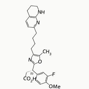 COc1ccc([C@H](CC(=O)O)c2nc(CCCCc3ccc4c(n3)NCCC4)c(C)o2)cc1F